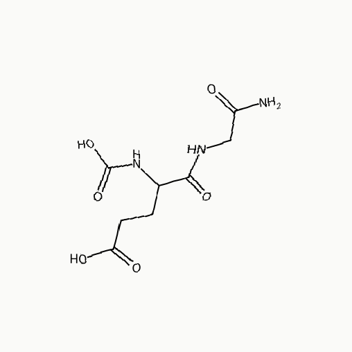 NC(=O)CNC(=O)C(CCC(=O)O)NC(=O)O